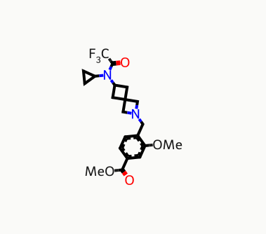 COC(=O)c1ccc(CN2CC3(CC(N(C(=O)C(F)(F)F)C4CC4)C3)C2)c(OC)c1